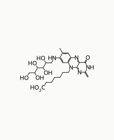 C=c1nc2c(c(=O)[nH]1)=Nc1cc(C)c(NCC(O)C(O)C(O)C(O)CO)cc1N2CCCCCCC(=O)O